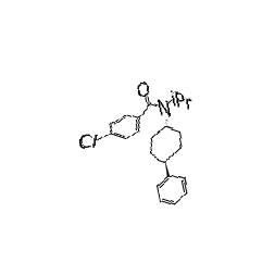 CC(C)N(C(=O)c1ccc(Cl)cc1)[C@H]1CC[C@H](c2ccccc2)CC1